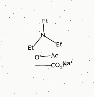 CC(=O)O.CC(=O)[O-].CCN(CC)CC.[Na+]